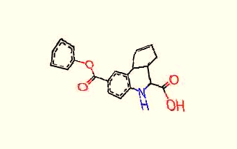 O=C(Oc1ccccc1)c1ccc2c(c1)C1C=CCC1C(C(=O)O)N2